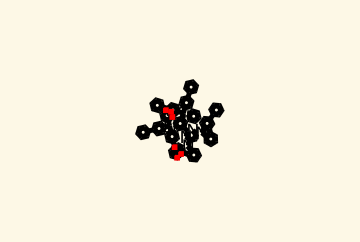 c1ccc(-c2ccc([Si](c3ccccc3)(c3ccc(-c4ccccc4)cc3)c3cc(-c4nc(-n5c6ccccc6c6ccccc65)cc(-n5c6ccccc6c6cc(-c7ccccc7)ccc65)n4)cc([Si](c4ccccc4)(c4ccc(-c5ccccc5)cc4)c4ccc(-c5ccccc5)cc4)c3)cc2)cc1